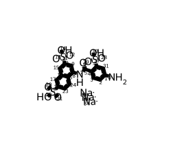 Nc1ccc(C(=O)Nc2cc(S(=O)(=O)O)cc3cc(S(=O)(=O)O)ccc23)c(S(=O)(=O)O)c1.[Na].[Na].[Na]